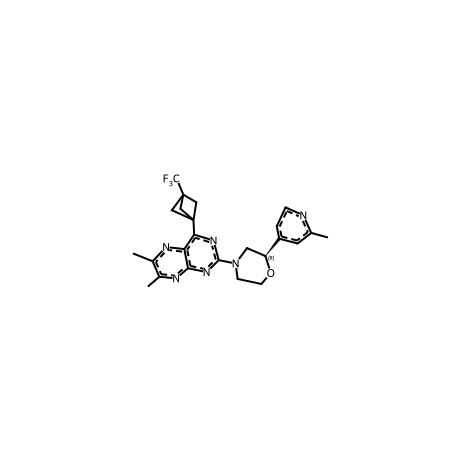 Cc1cc([C@@H]2CN(c3nc(C45CC(C(F)(F)F)(C4)C5)c4nc(C)c(C)nc4n3)CCO2)ccn1